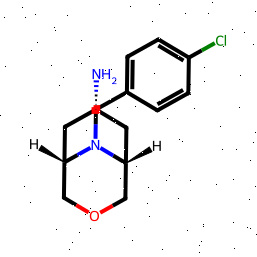 N[C@H]1C[C@H]2COC[C@@H](C1)N2Cc1ccc(Cl)cc1